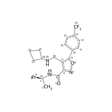 CC(C)[C@H](C)NC(=O)c1noc(-c2ccc(C(F)(F)F)cc2)c1CNC1CCC1